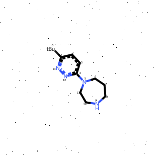 CC(C)(C)c1ccc(N2CCCNCC2)nn1